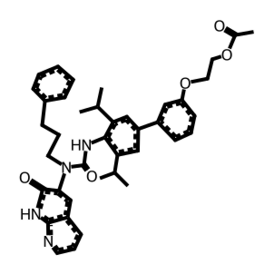 CC(=O)OCCOc1cccc(-c2cc(C(C)C)c(NC(=O)N(CCCc3ccccc3)c3cc4cccnc4[nH]c3=O)c(C(C)C)c2)c1